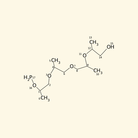 CC(COC(C)COCC(C)OC(C)CO)OP